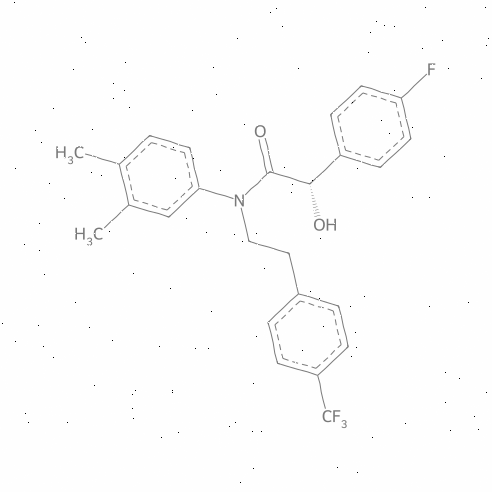 Cc1ccc(N(CCc2ccc(C(F)(F)F)cc2)C(=O)[C@@H](O)c2ccc(F)cc2)cc1C